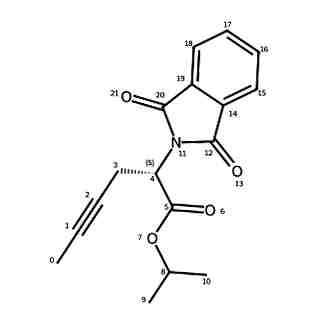 CC#CC[C@@H](C(=O)OC(C)C)N1C(=O)c2ccccc2C1=O